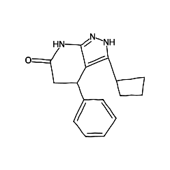 O=C1CC(c2ccccc2)c2c(n[nH]c2C2CCC2)N1